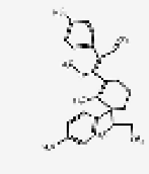 C=C/C(=C(/OC)C1=C(C)C(c2ccc(N)cc2)(C(C)CC)CCC1)c1ccc(C)cc1